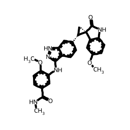 CNC(=O)c1ccc(OC)c(Nc2n[nH]c3cc([C@@H]4C[C@@]45C(=O)Nc4ccc(OC)cc45)ccc23)c1